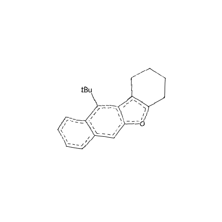 CC(C)(C)c1c2ccccc2cc2oc3c(c12)CCCC3